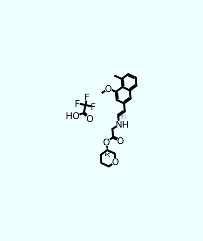 COc1cc(/C=C/NCC(=O)O[C@@H]2CCCOC2)cc2cccc(C)c12.O=C(O)C(F)(F)F